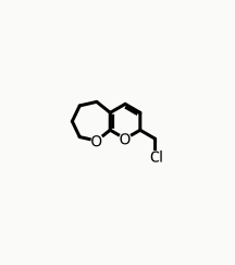 ClCC1C=CC2=C(OCCCC2)O1